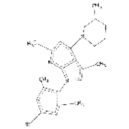 Cc1cc(N2CCCC(C)C2)c2c(C)cn(-c3c(C)cc(Br)cc3C)c2n1